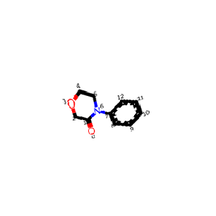 O=C1COCCN1c1[c]cccc1